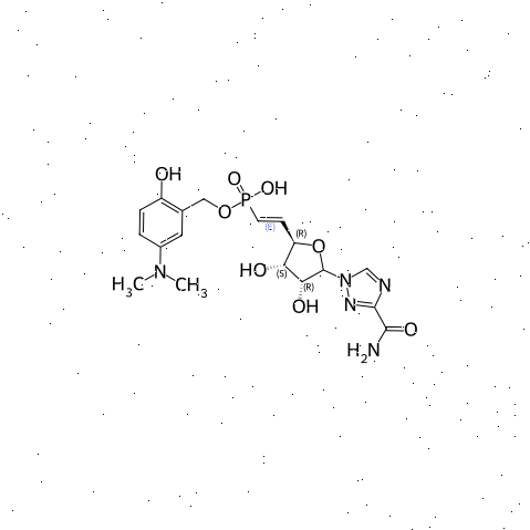 CN(C)c1ccc(O)c(COP(=O)(O)/C=C/[C@H]2OC(n3cnc(C(N)=O)n3)[C@H](O)[C@@H]2O)c1